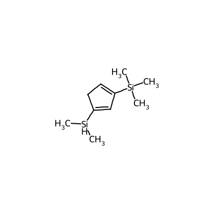 C[SiH](C)C1=CC([Si](C)(C)C)=CC1